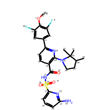 CC(C)Oc1c(F)cc(-c2ccc(C(=O)NS(=O)(=O)c3cccc(N)n3)c(N3CCC(C)C3(C)C)n2)cc1F